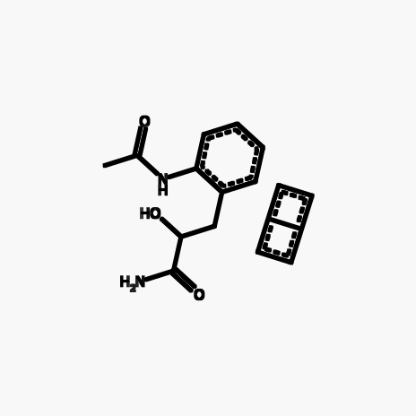 CC(=O)Nc1ccccc1CC(O)C(N)=O.c1cc2ccc1-2